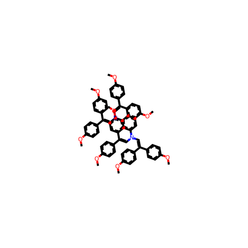 COc1ccc(C(=CN(C=C(c2ccc(OC)cc2)c2ccc(OC)cc2)c2cccc(N(C=C(c3ccc(OC)cc3)c3ccc(OC)cc3)C=C(c3ccc(OC)cc3)c3ccc(OC)cc3)c2)c2ccc(OC)cc2)cc1